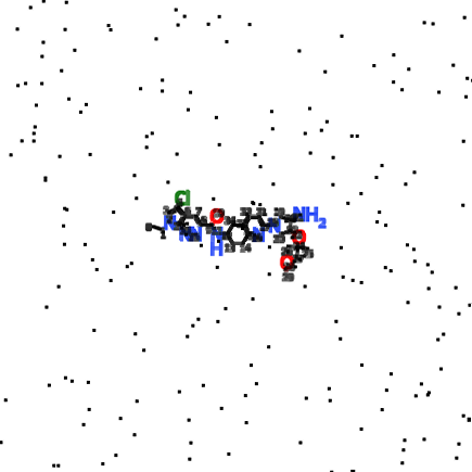 CCn1cc(Cl)c2cc(C(=O)NC3CCc4nc(N5CC(N)C(OC(C)(C)COC)C5)ccc4C3)nnc21